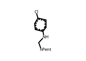 CCCCCCNc1ccc(Cl)cc1